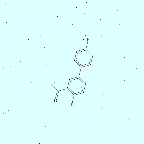 CC(=O)c1cc(-c2ccc(F)cc2)ccc1I